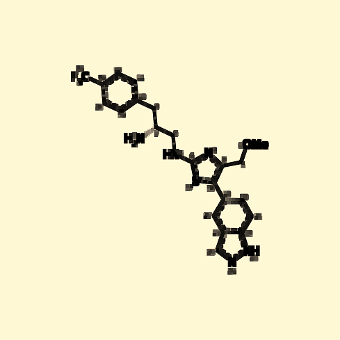 COCc1nc(NC[C@H](N)Cc2ccc(C(F)(F)F)cc2)sc1-c1ccc2[nH]ncc2c1